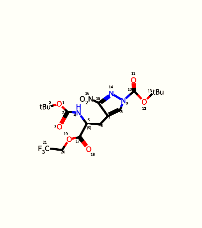 CC(C)(C)OC(=O)N[C@@H](Cc1cn(C(=O)OC(C)(C)C)nc1[N+](=O)[O-])C(=O)OCC(F)(F)F